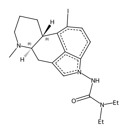 CCN(CC)C(=O)Nn1cc2c3c(c(I)ccc31)[C@H]1CCCN(C)[C@@H]1C2